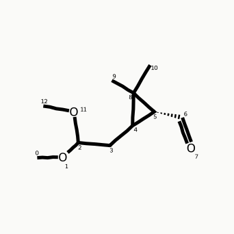 COC(CC1[C@@H](C=O)C1(C)C)OC